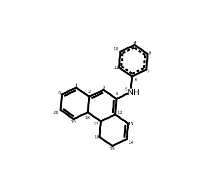 C1=CC2=CC(Nc3ccccc3)=C3C=CCCC3C2C=C1